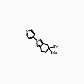 CC(C)C1(C(C)(C)C)CCc2nn(-c3ccncc3)cc2C1